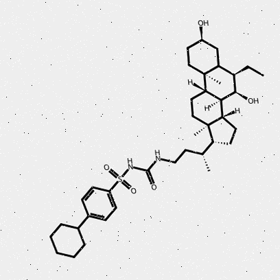 CC[C@@H]1C2C[C@H](O)CC[C@]2(C)[C@H]2CC[C@]3(C)[C@@H]([C@H](C)CCNC(=O)NS(=O)(=O)c4ccc(C5CCCCC5)cc4)CC[C@H]3[C@@H]2[C@@H]1O